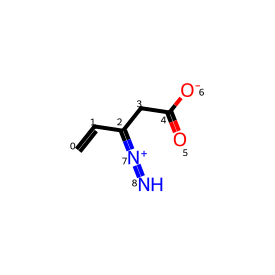 C=CC(CC(=O)[O-])=[N+]=N